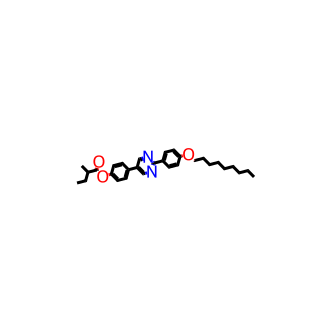 CCCCCCCCCOc1ccc(-c2ncc(-c3ccc(OC(=O)C(C)CC)cc3)cn2)cc1